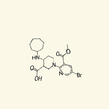 COC(=O)c1cc(Br)cnc1N1CCC(NC2CCCCCC2)C(C(=O)O)C1